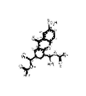 CCC(=O)OC(c1cc(C(OC(=O)CC)C(C)C)c2oc3ccc(C(=O)O)cc3c(=O)c2c1)C(C)C